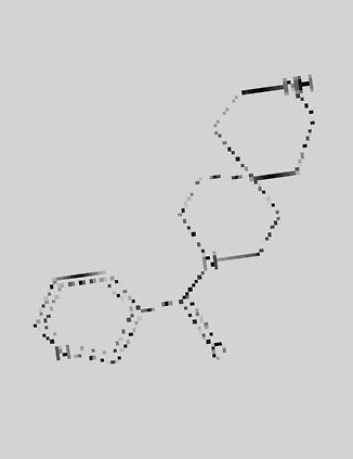 O=C(c1cccnc1)N1CCC2(CCNCC2)CC1